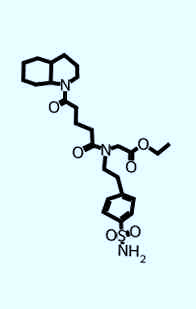 CCOC(=O)CN(CCc1ccc(S(N)(=O)=O)cc1)C(=O)CCCC(=O)N1CCCC2CCCCC21